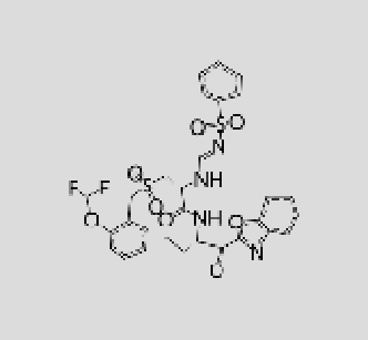 CC[C@H](NC(=O)[C@H](CS(=O)(=O)Cc1ccccc1OC(F)F)N/C=N/S(=O)(=O)c1ccccc1)C(=O)c1nc2ccccc2o1